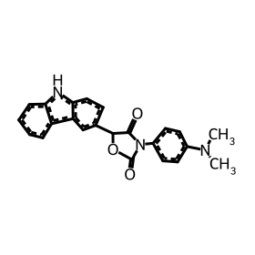 CN(C)c1ccc(N2C(=O)OC(c3ccc4[nH]c5ccccc5c4c3)C2=O)cc1